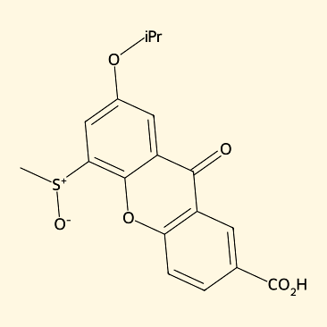 CC(C)Oc1cc([S+](C)[O-])c2oc3ccc(C(=O)O)cc3c(=O)c2c1